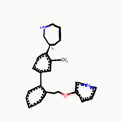 Cc1cc(-c2ccccc2COc2cccnc2)ccc1[C@@H]1CCCNC1